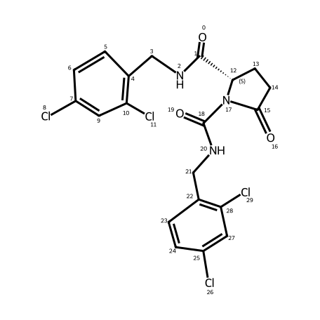 O=C(NCc1ccc(Cl)cc1Cl)[C@@H]1CCC(=O)N1C(=O)NCc1ccc(Cl)cc1Cl